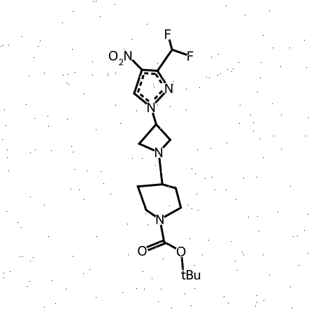 CC(C)(C)OC(=O)N1CCC(N2CC(n3cc([N+](=O)[O-])c(C(F)F)n3)C2)CC1